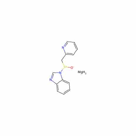 [MgH2].[O-][S+](Cc1ccccn1)n1cnc2ccccc21